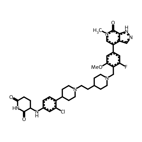 COc1cc(-c2cn(C)c(=O)c3[nH]ncc23)cc(F)c1CN1CCC(CCN2CCC(c3ccc(NC4CCC(=O)NC4=O)cc3Cl)CC2)CC1